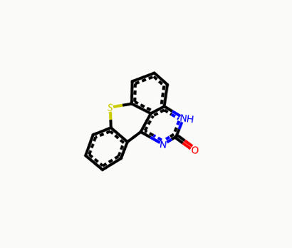 O=c1nc2c3c(cccc3[nH]1)Sc1ccccc1-2